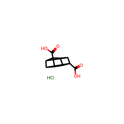 Cl.O=C(O)C12C3C4C1C1C2C3C41C(=O)O